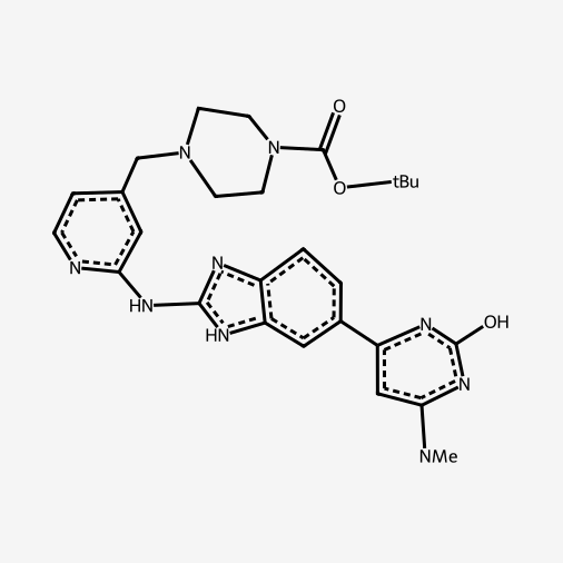 CNc1cc(-c2ccc3nc(Nc4cc(CN5CCN(C(=O)OC(C)(C)C)CC5)ccn4)[nH]c3c2)nc(O)n1